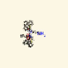 CC(C)(C)OC(=O)N(CCN(CCCCCN)CC(C)(C)SC(c1ccccc1)(c1ccccc1)c1ccccc1)CC(C)(C)SC(c1ccccc1)(c1ccccc1)c1ccccc1